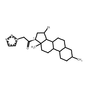 CCC1C[C@H](C(=O)Cn2ccnn2)C2(C)CCC3C4CCC(C)CC4CCC3C12